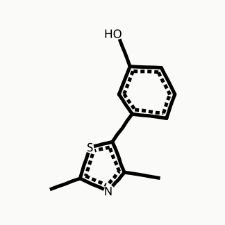 Cc1nc(C)c(-c2cccc(O)c2)s1